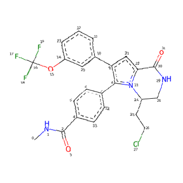 CNC(=O)c1ccc(-c2c(-c3cccc(OC(F)(F)F)c3)cc3n2C(CCCl)CNC3=O)cc1